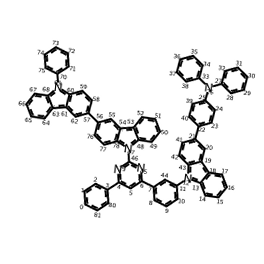 c1ccc(-c2cc(-c3cccc(-n4c5ccccc5c5cc(-c6ccc(N(c7ccccc7)c7ccccc7)cc6)ccc54)c3)nc(-n3c4ccccc4c4cc(-c5ccc6c(c5)c5ccccc5n6-c5ccccc5)ccc43)n2)cc1